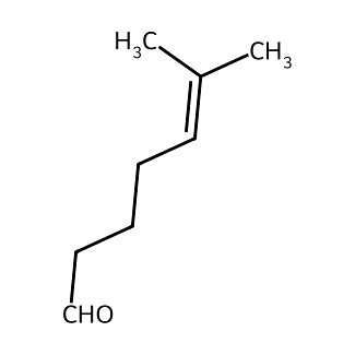 CC(C)=CCCCC=O